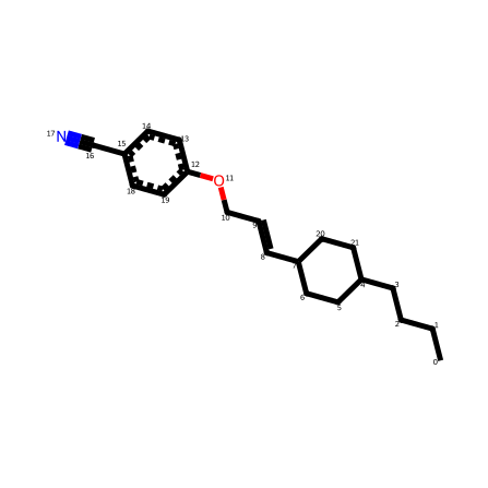 CCCCC1CCC(C=CCOc2ccc(C#N)cc2)CC1